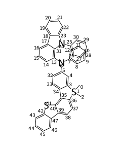 CS1(C)c2cc(N(c3ccccc3)c3cccc4c5ccccc5n(-c5ccccc5)c34)ccc2-c2c1ccc1c2sc2ccccc21